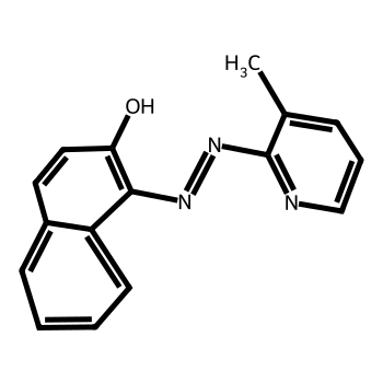 Cc1cccnc1N=Nc1c(O)ccc2ccccc12